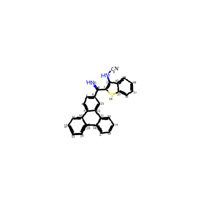 N#CNc1c(C(=N)c2ccc3c4ccccc4c4ccccc4c3c2)sc2ccccc12